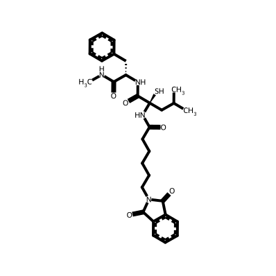 CNC(=O)[C@H](Cc1ccccc1)NC(=O)[C@](S)(CC(C)C)NC(=O)CCCCCN1C(=O)c2ccccc2C1=O